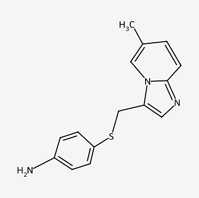 Cc1ccc2ncc(CSc3ccc(N)cc3)n2c1